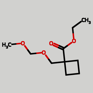 CCOC(=O)C1(COCOC)CCC1